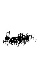 CC(C)C(OC(=O)N(C)C)C1C[C@@H](C)[C@H]2C(O1)[C@H](O)[C@@]1(C)C3CC[C@H]4C(C)(C)C(O[C@H]5CNCCO5)CCC45CC35CCC21C